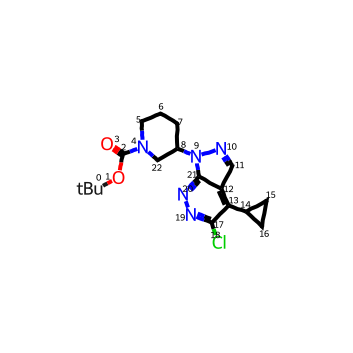 CC(C)(C)OC(=O)N1CCCC(n2ncc3c(C4CC4)c(Cl)nnc32)C1